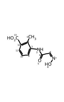 Cc1c(NC(=O)/C=N\O)cccc1C(=O)O